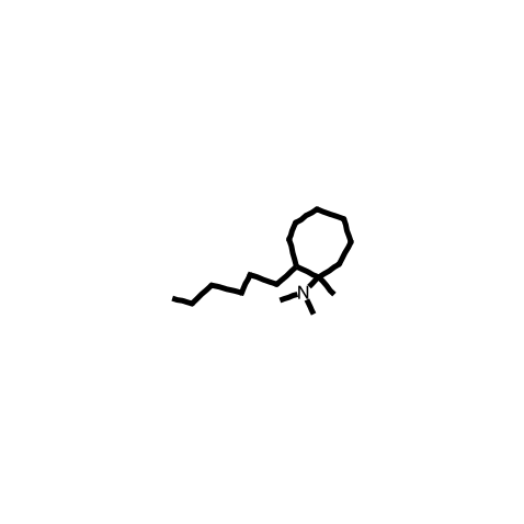 CCCCCCC1CCCCCCC1(C)N(C)C